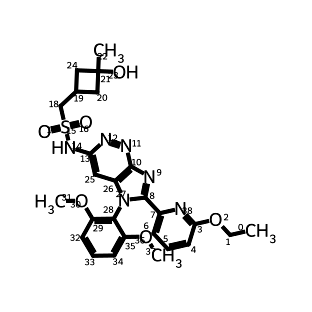 CCOc1cccc(-c2nc3nnc(NS(=O)(=O)CC4CC(C)(O)C4)cc3n2-c2c(OC)cccc2OC)n1